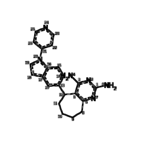 Nc1nc(N)c2c(n1)CCCCC2c1ccc2c(ccn2-c2ccncc2)c1